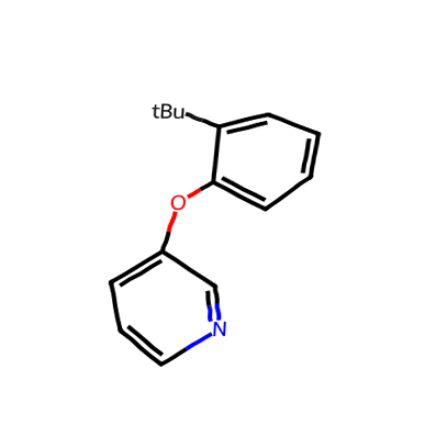 CC(C)(C)c1ccccc1Oc1cccnc1